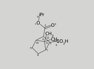 CC(C)OC(=O)C1C(C(=O)O)C2CCC1C2(C)C